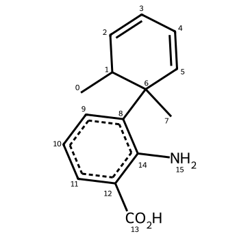 CC1C=CC=CC1(C)c1cccc(C(=O)O)c1N